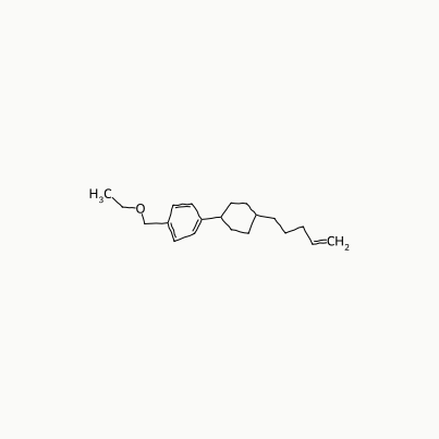 C=CCCCC1CCC(c2ccc(COCC)cc2)CC1